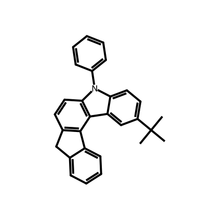 CC(C)(C)c1ccc2c(c1)c1c3c(ccc1n2-c1ccccc1)Cc1ccccc1-3